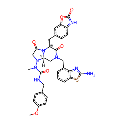 COc1ccc(CNC(=O)N(C)N2CC(=O)N3[C@@H](Cc4ccc5[nH]c(=O)oc5c4)C(=O)N(Cc4cccc5sc(N)nc45)C[C@@H]32)cc1